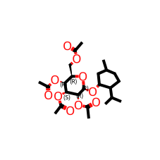 CC(=O)OC[C@H]1O[C@@H](OC2CC(C)CCC2C(C)C)[C@H](OC(C)=O)[C@@H](OC(C)=O)[C@@H]1OC(C)=O